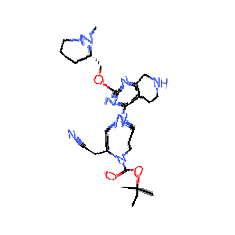 CN1CCC[C@H]1COc1nc2c(c(N3C=C(CC#N)N(C(=O)OC(C)(C)C)CC3)n1)CCNC2